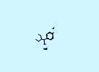 CCC(CC)C(c1ccc2nc(N)sc2c1)c1ncc[nH]1